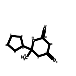 CC1(C2CCCC2)CC(=O)CC(=O)O1